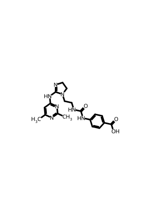 Cc1cc(NC2=NCCN2CCNC(=O)Nc2ccc(C(=O)O)cc2)nc(C)n1